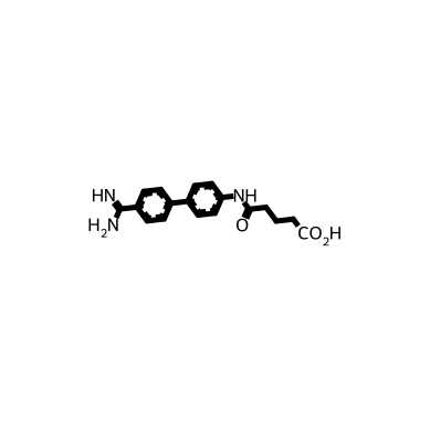 N=C(N)c1ccc(-c2ccc(NC(=O)CCCC(=O)O)cc2)cc1